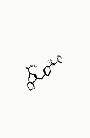 CN(N)/C=C(\N)c1ccc(Cc2cc(C(N)=O)cc3c2OCC3)cc1